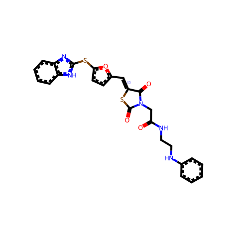 O=C(CN1C(=O)S/C(=C\c2ccc(Sc3nc4ccccc4[nH]3)o2)C1=O)NCCNc1ccccc1